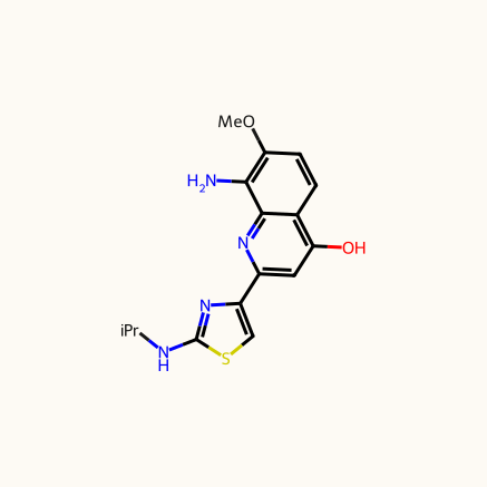 COc1ccc2c(O)cc(-c3csc(NC(C)C)n3)nc2c1N